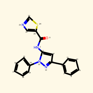 O=C(Nc1cc(-c2ccccc2)nn1-c1ccccc1)c1cncs1